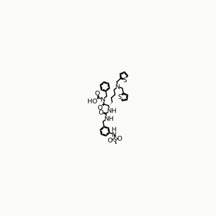 CS(=O)(=O)Nc1cccc(CNC(=O)N[C@@H](CCCCN(Cc2cccs2)Cc2cccs2)C(=O)N(Cc2ccccc2)C(=O)O)c1